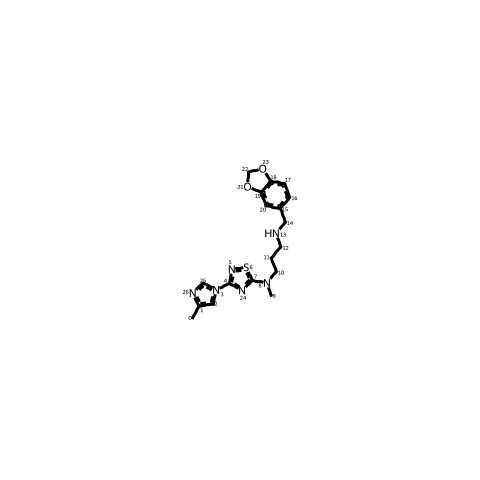 Cc1cn(-c2nsc(N(C)CCCNCc3ccc4c(c3)OCO4)n2)cn1